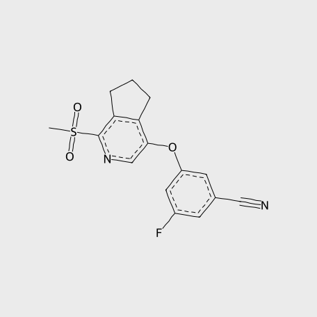 CS(=O)(=O)c1ncc(Oc2cc(F)cc(C#N)c2)c2c1CCC2